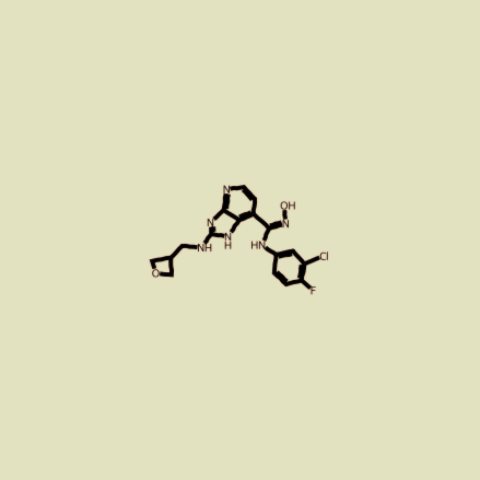 O/N=C(/Nc1ccc(F)c(Cl)c1)c1ccnc2nc(NCC3COC3)[nH]c12